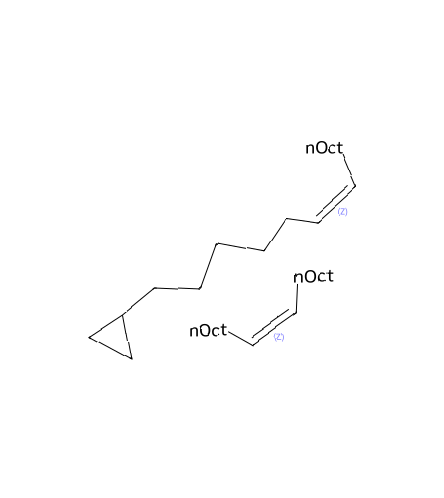 CCCCCCCC/C=C\CCCCCC1CC1.CCCCCCCC/C=C\CCCCCCCC